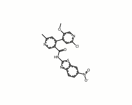 COc1cnc(Cl)cc1-c1cc(C)ncc1C(=O)Nc1nc2ccc([N+](=O)[O-])cc2s1